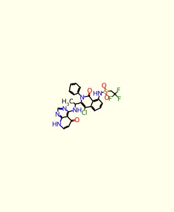 CC(Nc1ncnc2[nH]ccc(=O)c12)c1c(Cl)c2cccc(NS(=O)(=O)CC(F)(F)F)c2c(=O)n1-c1ccccc1